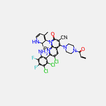 C=CC(=O)N1CCN(c2c(C#N)c(=O)n(C3=C(C)C=CNC3C(C)C)c3nc(-c4c(N)c(F)c(F)c(Cl)c4Cl)c(Cl)cc23)CC1